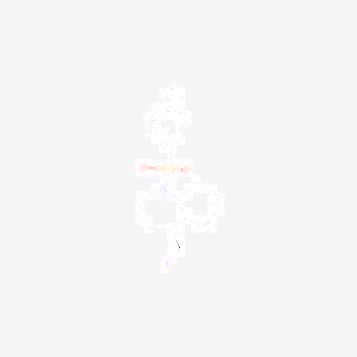 Cc1ccc(S(=O)(=O)N2CCC[C@H](CI)c3ccccc32)cc1